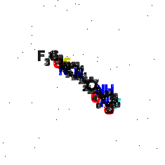 Cn1c(C(=O)NC2CCC(CCN3CCc4nc(OCC(F)(F)F)sc4CC3)CC2)ccc(F)c1=O